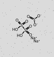 O=S(=O)(O)S(=O)(=O)O.O=S([O-])[O-].[Na+].[Na+]